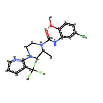 COc1ccc(Cl)cc1NC(=O)N1CCN(c2ncccc2C(F)(F)F)CC1C